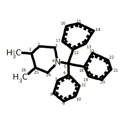 CC1CCN(C(c2ccccc2)(c2ccccc2)c2ccccc2)CC1C